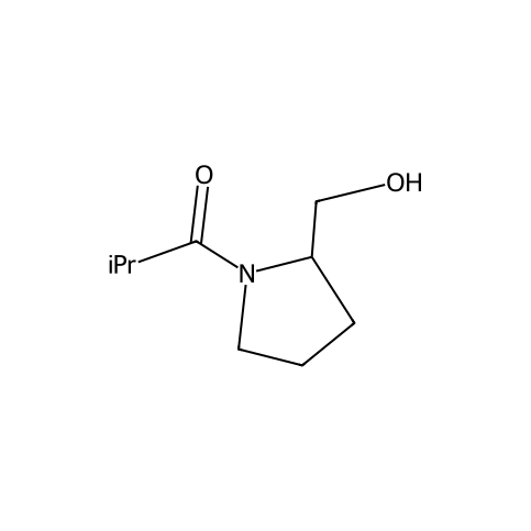 CC(C)C(=O)N1CCCC1CO